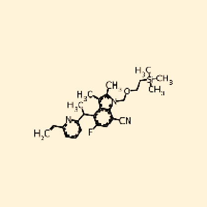 C=Cc1cccc(C(C)c2c(F)cc(C#N)c3c2c(C)c(C)n3COCC[Si](C)(C)C)n1